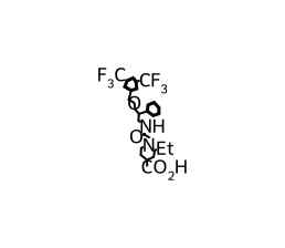 CCC1CC(C(=O)O)CCN1CC(=O)NCC(COCc1cc(C(F)(F)F)cc(C(F)(F)F)c1)c1ccccc1